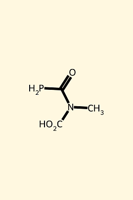 CN(C(=O)O)C(=O)P